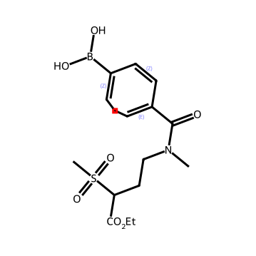 C\C=C(/C=C\C(=C/C)C(=O)N(C)CCC(C(=O)OCC)S(C)(=O)=O)B(O)O